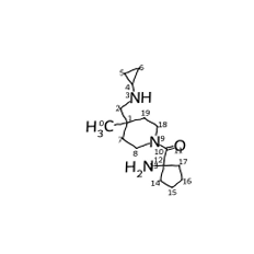 CC1(CNC2CC2)CCN(C(=O)C2(N)CCCC2)CC1